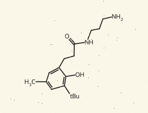 Cc1cc(CCC(=O)NCCCN)c(O)c(C(C)(C)C)c1